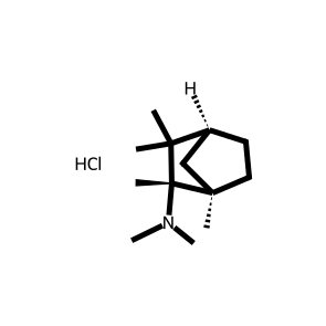 CN(C)[C@]1(C)C(C)(C)[C@H]2CC[C@]1(C)C2.Cl